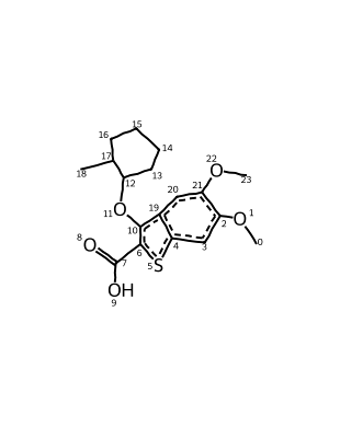 COc1cc2sc(C(=O)O)c(OC3CCCCC3C)c2cc1OC